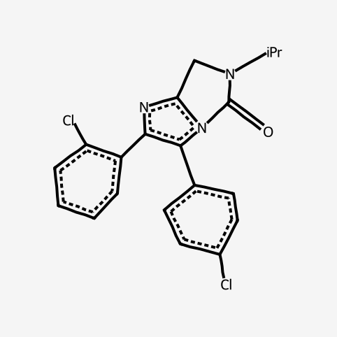 CC(C)N1Cc2nc(-c3ccccc3Cl)c(-c3ccc(Cl)cc3)n2C1=O